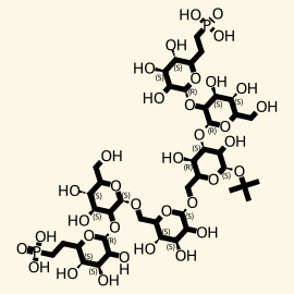 CC(C)(C)O[C@@H]1OC(CO[C@H]2OC(CO[C@H]3OC(CO)[C@@H](O)[C@H](O)C3O[C@H]3OC(CCP(=O)(O)O)[C@@H](O)[C@H](O)C3O)[C@@H](O)[C@H](O)C2O)[C@@H](O)[C@H](O[C@H]2OC(CO)[C@@H](O)[C@H](O)C2O[C@H]2OC(CCP(=O)(O)O)[C@@H](O)[C@H](O)C2O)C1O